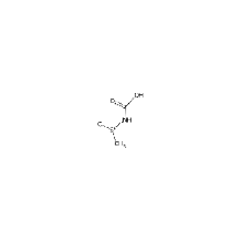 C[S+]([O-])NC(=O)O